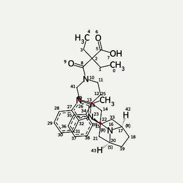 CCC(CC)(C(=O)O)C(=O)N1CCC(CCN2[C@@H]3CC[C@H]2C[C@@H](n2c(C)nc4ccccc42)C3)(c2ccccc2)CC1